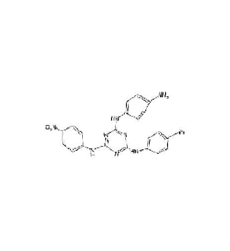 CC(C)c1ccc(Nc2nc(Nc3ccc(N)cc3)nc(Nc3ccc([N+](=O)[O-])cc3)n2)cc1